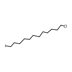 ClCCCCCCCCCCCCI